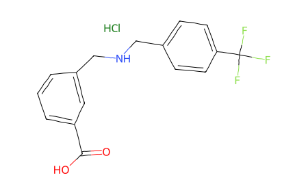 Cl.O=C(O)c1cccc(CNCc2ccc(C(F)(F)F)cc2)c1